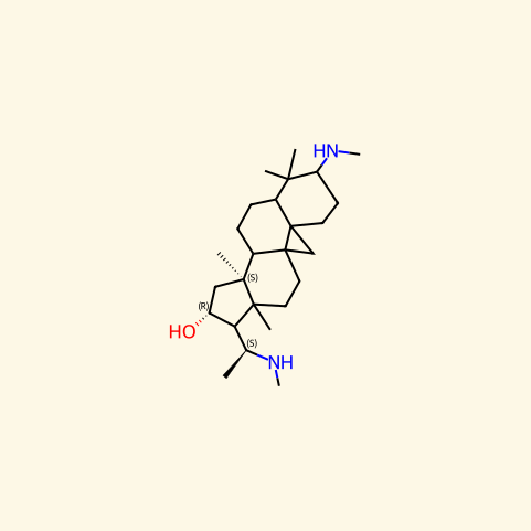 CNC1CCC23CC24CCC2(C)C([C@H](C)NC)[C@H](O)C[C@@]2(C)C4CCC3C1(C)C